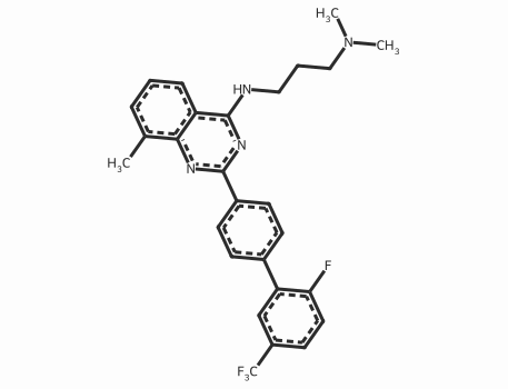 Cc1cccc2c(NCCCN(C)C)nc(-c3ccc(-c4cc(C(F)(F)F)ccc4F)cc3)nc12